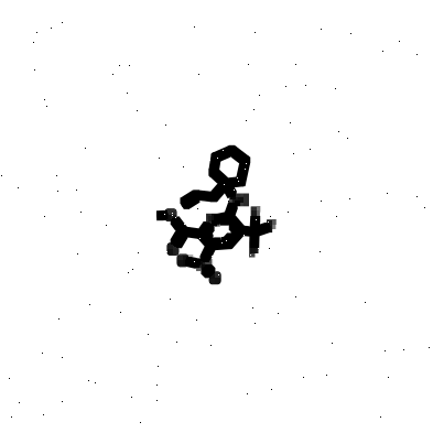 C=CCC1(Nc2nc(C(=O)OC)c([N+](=O)[O-])cc2C(F)(F)F)CCCCC1